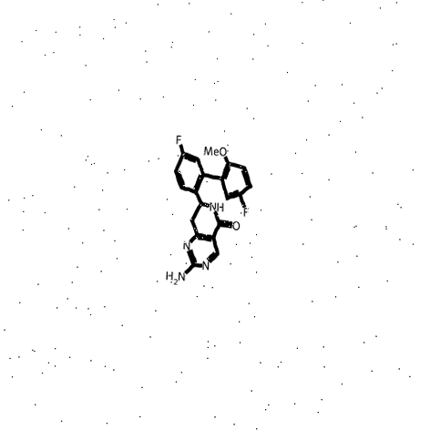 COc1ccc(F)cc1-c1cc(F)ccc1C1Cc2nc(N)ncc2C(=O)N1